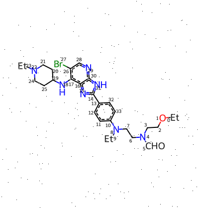 CCOCCN(C=O)CCN(CC)c1ccc(-c2nc3c(NC4CCN(CC)CC4)c(Br)cnc3[nH]2)cc1